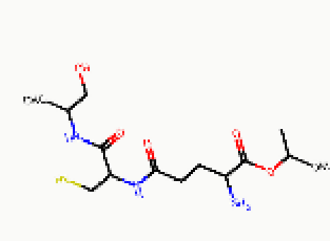 COC(C)OC(=O)C(N)CCC(=O)NC(CS)C(=O)NC(C=O)CO